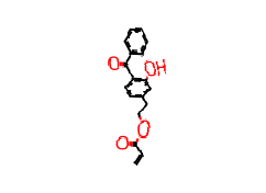 C=CC(=O)OCCc1ccc(C(=O)c2ccccc2)c(O)c1